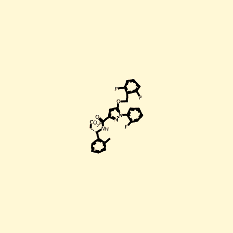 Cc1ccccc1[C@H](CC(=O)O)NC(=O)c1cc(OCc2c(F)cccc2F)n(-c2ccccc2F)n1